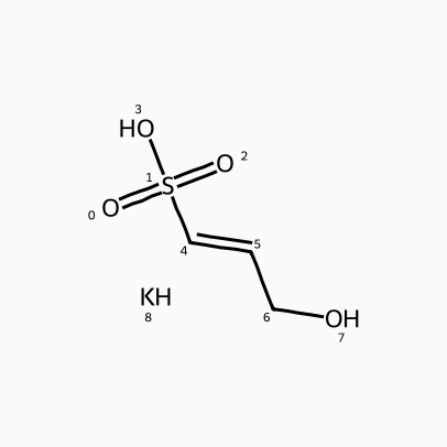 O=S(=O)(O)C=CCO.[KH]